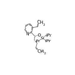 C=CCCC(O[Si](C(C)C)(C(C)C)C(C)C)c1ncccc1C=C